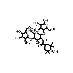 CC1(C)CC(C(=O)NC2C(OC3C(CO)OC(O)C(N)C3O)OC(CO)C(OC3OC(CO)C(O)C(O)C3N)C2O)CC(C)(C)N1O